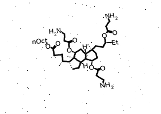 CCCCCCCCOC(=O)CC[C@@H](C)[C@H]1CC[C@H]2C3[C@H](OC(=O)CCN)CC[C@](C)(CC[C@H](CC)OC(=O)CCN)[C@H]3C[C@H](OC(=O)CCN)[C@]12C